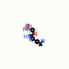 CN(C)S(=O)(=O)Nc1ccc(F)c(C(=O)c2c[nH]c3ncc(-c4ccc(C5(C#N)CC5)cc4)cc23)c1F